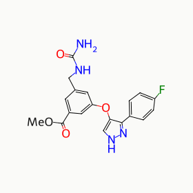 COC(=O)c1cc(CNC(N)=O)cc(Oc2c[nH]nc2-c2ccc(F)cc2)c1